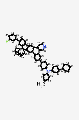 Cc1ccc(N(c2ccc(-c3ccccc3)cc2)c2ccc(-c3ccc(-c4cc5c(cc4-c4ccncc4)-c4ccc(-c6cccc(F)c6)cc4C54C5CC6CC(C5)CC4C6)cc3)cc2)cc1